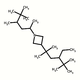 CCC(CC(C)(C)C1CN(C(C)CC(C)C(C)(C)C)C1)C(C)(C)C